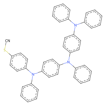 N#CSc1ccc(N(c2ccccc2)c2ccc(N(c3ccccc3)c3ccc(N(c4ccccc4)c4ccccc4)cc3)cc2)cc1